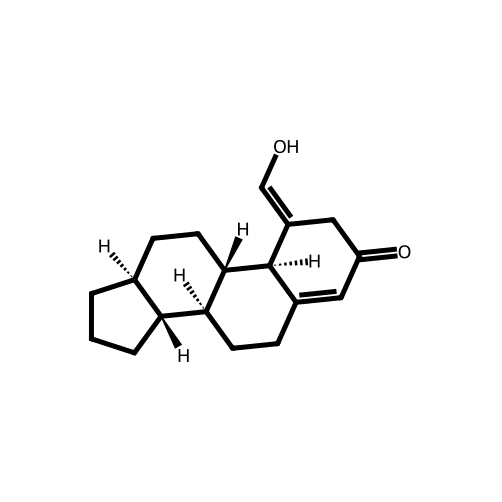 O=C1C=C2CC[C@H]3[C@@H]4CCC[C@H]4CC[C@@H]3[C@H]2/C(=C/O)C1